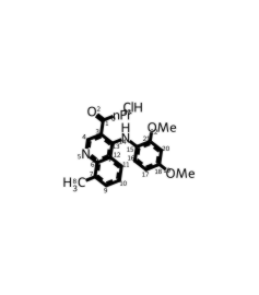 CCCC(=O)c1cnc2c(C)cccc2c1Nc1ccc(OC)cc1OC.Cl